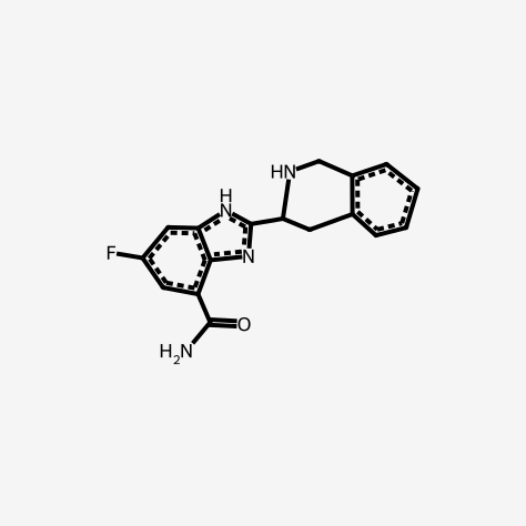 NC(=O)c1cc(F)cc2[nH]c(C3Cc4ccccc4CN3)nc12